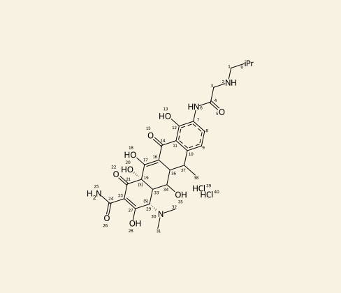 CC(C)CNCC(=O)Nc1ccc2c(c1O)C(=O)C1=C(O)[C@]3(O)C(=O)C(C(N)=O)=C(O)[C@@H](N(C)C)C3C(O)C1C2C.Cl.Cl